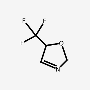 FC(F)(F)C1C=N[C]O1